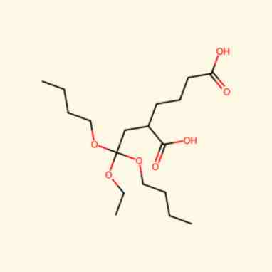 CCCCOC(CC(CCCC(=O)O)C(=O)O)(OCC)OCCCC